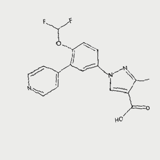 Cc1nn(-c2ccc(OC(F)F)c(-c3ccncc3)c2)cc1C(=O)O